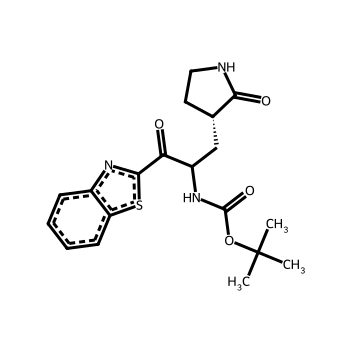 CC(C)(C)OC(=O)NC(C[C@@H]1CCNC1=O)C(=O)c1nc2ccccc2s1